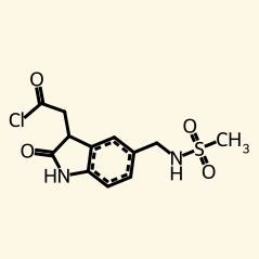 CS(=O)(=O)NCc1ccc2c(c1)C(CC(=O)Cl)C(=O)N2